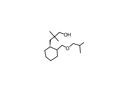 CC(C)COCC1CCCC[C@H]1CC(C)(C)CO